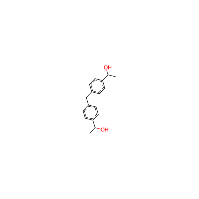 CC(O)c1ccc(Cc2ccc(C(C)O)cc2)cc1